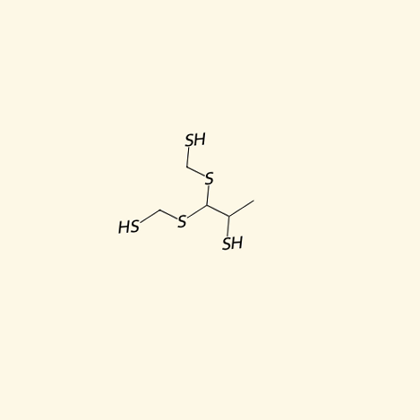 CC(S)C(SCS)SCS